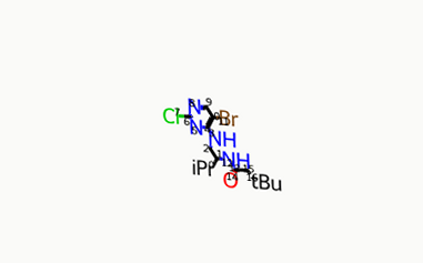 CC(C)C(CNc1nc(Cl)ncc1Br)NC(=O)CC(C)(C)C